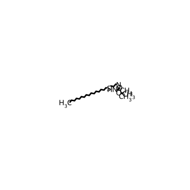 CCCCCCCCCCCCCCCCSCC(C[N])NC(=O)OC(C)(C)C